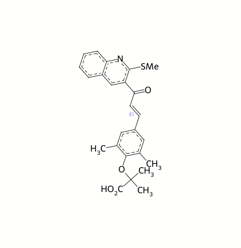 CSc1nc2ccccc2cc1C(=O)/C=C/c1cc(C)c(OC(C)(C)C(=O)O)c(C)c1